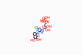 O=P(O)(O)CP(=O)(O)CCC1OC(n2cnc3c(Nc4cccc5cc(O)c(O)cc45)nc(Cl)nc32)C(O)C1O